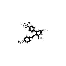 Cc1ccc(C#Cc2c(C)nc(N)nc2-c2ccc(S(C)(=O)=O)cc2)cn1